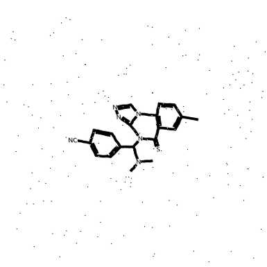 Cc1ccc2c(c1)c(=S)n(C(c1ccc(C#N)cc1)N(C)C)c1nncn21